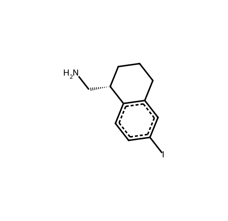 NC[C@@H]1CCCc2cc(I)ccc21